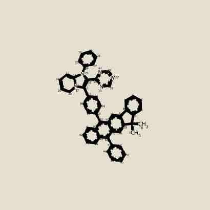 CC1(C)c2ccccc2-c2cc3c(-c4ccc(C5=C(c6ncncn6)N(c6ccccc6)C6=CC=CCN65)cc4)c4ccccc4c(-c4ccccc4)c3cc21